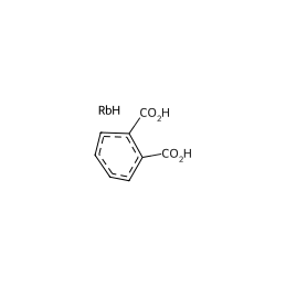 O=C(O)c1ccccc1C(=O)O.[RbH]